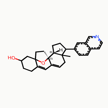 CC12CC=C3C=C4CCC(O)CC45CC[C@]3(O5)[C@@H]1CCC2c1ccc2ccncc2c1